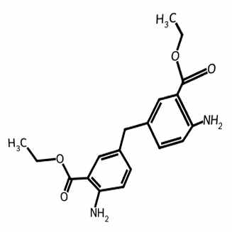 CCOC(=O)c1cc(Cc2ccc(N)c(C(=O)OCC)c2)ccc1N